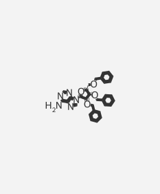 Nc1ncnc2c1ncn2[C@@H]1O[C@H](COCc2ccccc2)[C@@H](OCc2ccccc2)[C@@H]1OCc1ccccc1